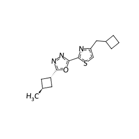 C[C@H]1C[C@H](c2nnc(-c3nc(CC4CCC4)cs3)o2)C1